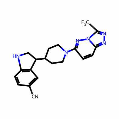 N#Cc1ccc2c(c1)C(C1CCN(c3ccc4nnc(C(F)(F)F)n4n3)CC1)CN2